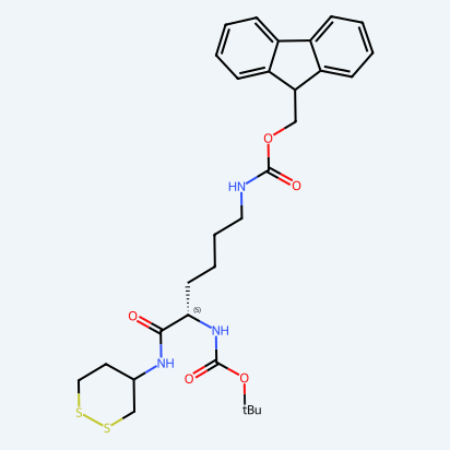 CC(C)(C)OC(=O)N[C@@H](CCCCNC(=O)OCC1c2ccccc2-c2ccccc21)C(=O)NC1CCSSC1